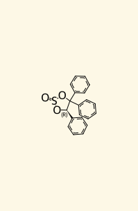 O=S1O[C@H](c2ccccc2)C(c2ccccc2)(c2ccccc2)O1